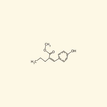 CCCC(=Cc1ccc(O)cc1)C(=O)OC